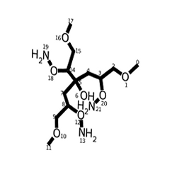 COCC(CC(O)(CC(COC)ON)C(COC)ON)ON